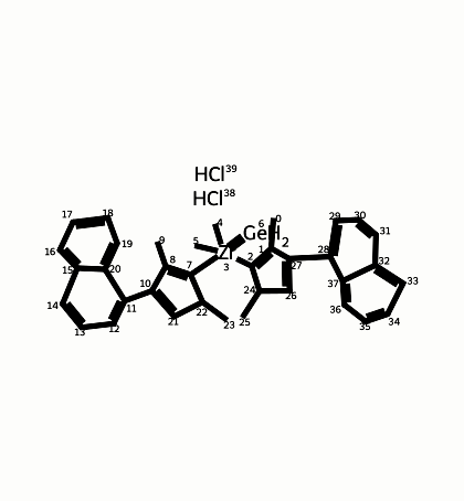 CC1=[C]([Zr]([CH3])([CH3])(=[GeH2])[C]2=C(C)C(c3cccc4ccccc34)=CC2C)C(C)C=C1c1cccc2ccccc12.Cl.Cl